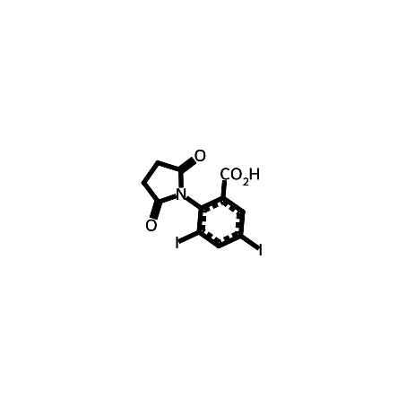 O=C(O)c1cc(I)cc(I)c1N1C(=O)CCC1=O